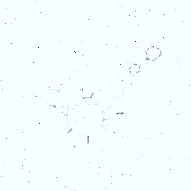 CC[C@H]1OC(=O)[C@H](C)C(=O)[C@H](C)[C@@H](OC2O[C@H](C)C[C@H](N(C)C)[C@H]2O)[C@@](C)(OC)C[C@@H](C)C(=O)[C@H](C)[C@H]2N(CCCCn3cnc(-c4cccnc4Cl)c3)C(=O)O[C@]12C